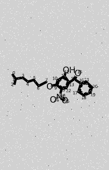 CC(C)CCCCCOc1cc(O)c(C(=O)c2ccccc2)cc1[N+](=O)[O-]